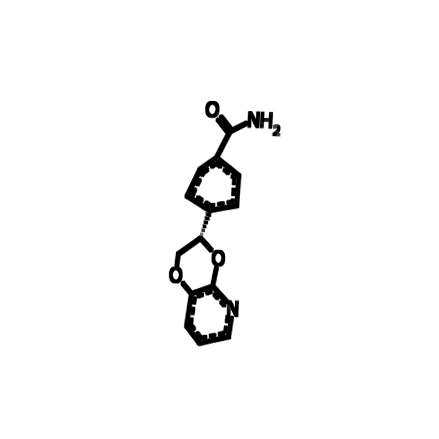 NC(=O)c1ccc([C@H]2COc3cccnc3O2)cc1